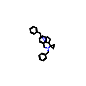 c1ccc(CCN2CCC(C3(N(Cc4ccccc4)Cc4ccccc4)CC3)C2)cc1